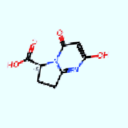 O=C(O)[C@@H]1CCc2nc(O)cc(=O)n21